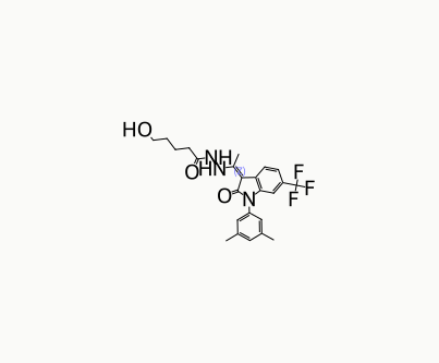 C/C(NNC(=O)CCCCO)=C1/C(=O)N(c2cc(C)cc(C)c2)c2cc(C(F)(F)F)ccc21